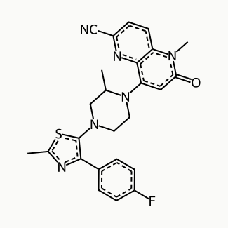 Cc1nc(-c2ccc(F)cc2)c(N2CCN(c3cc(=O)n(C)c4ccc(C#N)nc34)C(C)C2)s1